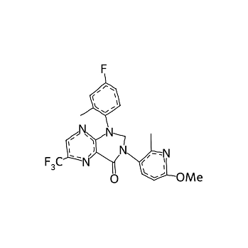 COc1ccc(N2CN(c3ccc(F)cc3C)c3ncc(C(F)(F)F)nc3C2=O)c(C)n1